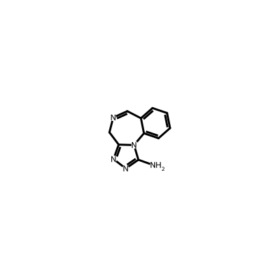 Nc1nnc2n1-c1ccccc1C=NC2